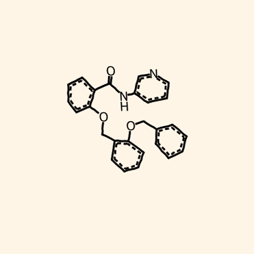 O=C(Nc1cccnc1)c1ccccc1OCc1ccccc1OCc1ccccc1